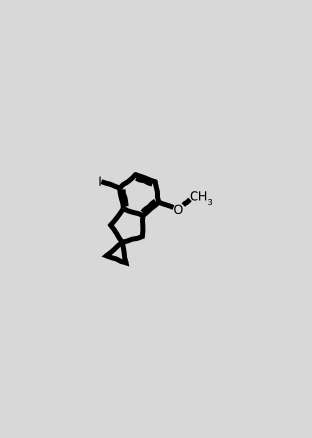 COc1ccc(I)c2c1CC1(CC1)C2